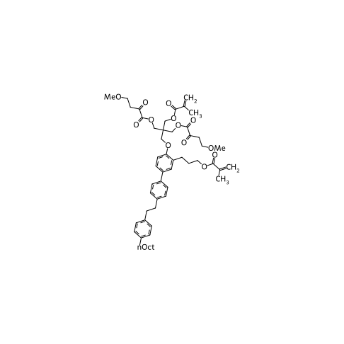 C=C(C)C(=O)OCCCc1cc(-c2ccc(CCc3ccc(CCCCCCCC)cc3)cc2)ccc1OCC(COC(=O)C(=C)C)(COC(=O)C(=O)CCOC)COC(=O)C(=O)CCOC